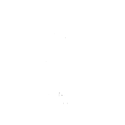 COC(=O)C=C(C(C)=O)c1cccc([N+](=O)[O-])c1